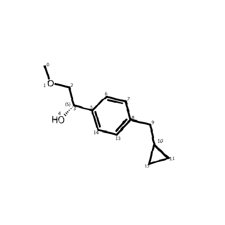 COC[C@@H](O)c1ccc(CC2CC2)cc1